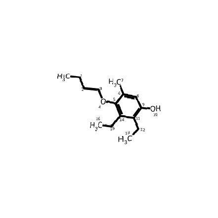 CCCCOc1c(C)cc(O)c(CC)c1CC